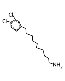 NCCCCCCCCCCc1ccc(Cl)c(Cl)c1